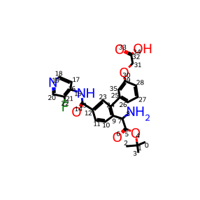 CC(C)(C)OC(=O)C(N)c1ccc(C(=O)Nc2ccncc2F)cc1-c1cccc(OCC(=O)O)c1